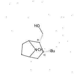 CCC(C)[C@@H]1CC2CCC([C@@H]1CO)N2C